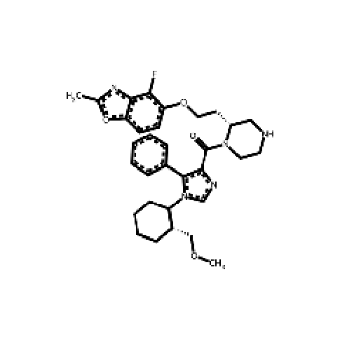 COC[C@@H]1CCCCC1n1cnc(C(=O)N2CCNC[C@H]2CCOc2ccc3oc(C)nc3c2F)c1-c1ccccc1